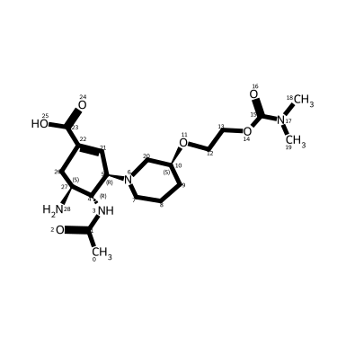 CC(=O)N[C@H]1[C@H](N2CCC[C@H](OCCOC(=O)N(C)C)C2)C=C(C(=O)O)C[C@@H]1N